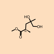 COC(=O)[C@H](C)CC(C)(O)CO